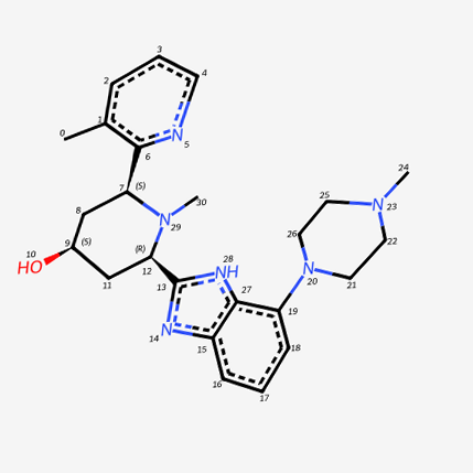 Cc1cccnc1[C@@H]1C[C@H](O)C[C@H](c2nc3cccc(N4CCN(C)CC4)c3[nH]2)N1C